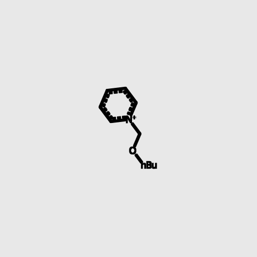 CCCCOC[n+]1ccccc1